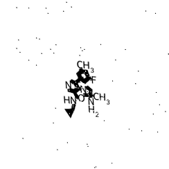 Cc1cc(F)cc(-c2cncc(C(=O)NCC3CC3)c2N2CC[C@](C)(N)C2)c1